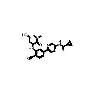 CN(C)C(=O)C(CCO)Nc1cc(-c2cnc(NC(=O)C3CC3)cn2)ccc1C#N